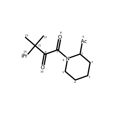 CC(=O)C1CCCCN1C(=O)C(=O)C(C)(C)C(C)C